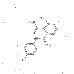 C[n+]1cccc(C(=O)Nc2ccc(Cl)cc2)c1C(N)=O.[Cl-]